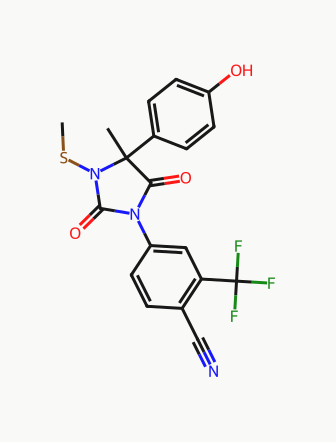 CSN1C(=O)N(c2ccc(C#N)c(C(F)(F)F)c2)C(=O)C1(C)c1ccc(O)cc1